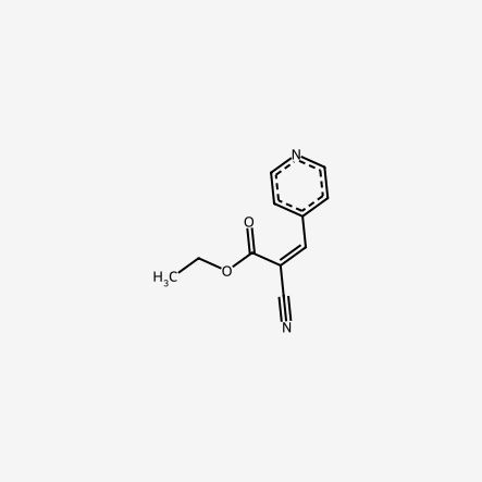 CCOC(=O)C(C#N)=Cc1ccncc1